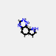 c1nnc2c(ccc3cc[nH]c32)n1